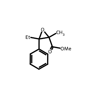 CCC1(c2ccccc2)OC1(C)C(=O)OC